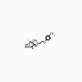 CO[C@@H](C)/C(=N/OCCOc1ccc(C(F)(F)F)cc1)[C@@H](O)[C@@H](C)O